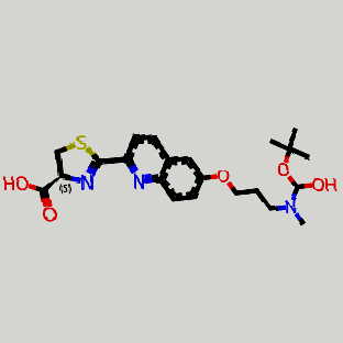 CN(CCCOc1ccc2nc(C3=N[C@@H](C(=O)O)CS3)ccc2c1)C(O)OC(C)(C)C